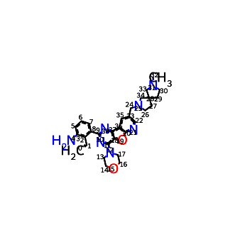 C=Cc1c(N)cccc1-c1nc(N2CCOCC2)c2oc3ncc(CN4CC[C@@]5(CCN(C)C5)C4)cc3c2n1